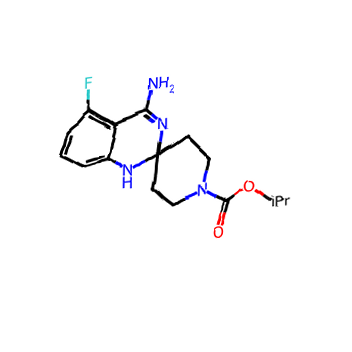 CC(C)OC(=O)N1CCC2(CC1)N=C(N)c1c(F)cccc1N2